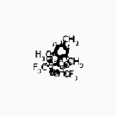 Cc1cc(C)c(C(S(=O)(=O)C(F)(F)F)S(=O)(=O)C(F)(F)F)c(C)c1